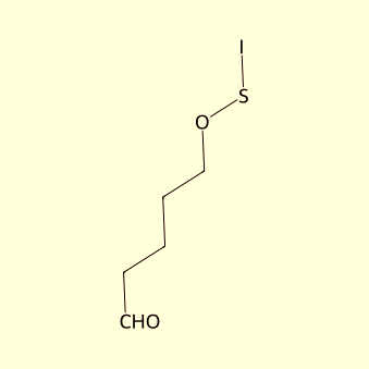 O=CCCCCOSI